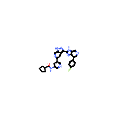 O=C(Nc1cncc(-c2cc3c(-c4nc5c(-c6ccc(F)cc6)cncc5[nH]4)n[nH]c3cn2)c1)C1CCCC1